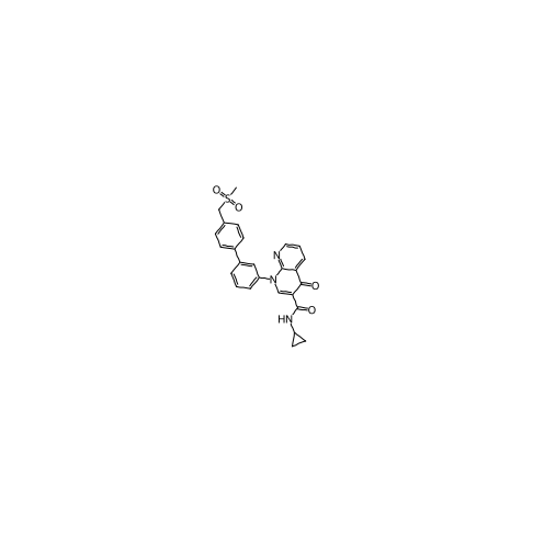 CS(=O)(=O)Cc1ccc(-c2cccc(-n3cc(C(=O)NC4CC4)c(=O)c4cccnc43)c2)cc1